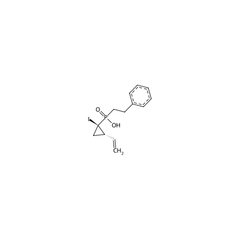 C=C[C@@H]1C[C@]1(I)P(=O)(O)CCc1ccccc1